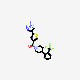 O=C(C1C=C(c2cn[nH]c2)SC1)N1CCC(c2ccccc2C(F)(F)F)CC1